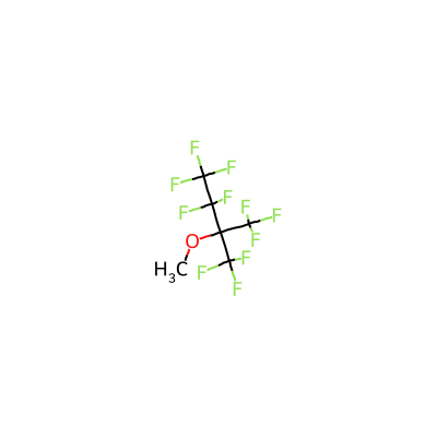 COC(C(F)(F)F)(C(F)(F)F)C(F)(F)C(F)(F)F